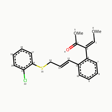 COC=C(C(=O)OC)c1ccccc1C=CCSc1ccccc1Cl